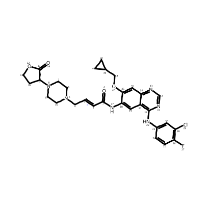 O=C(/C=C/CN1CCN(C2CCOC2=O)CC1)Nc1cc2c(Nc3ccc(F)c(Cl)c3)ncnc2cc1OCC1CC1